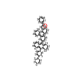 c1ccc(-c2ccc(-c3c4ccccc4c(-c4ccc(-c5ccc6oc(-c7ccccc7)cc6c5)c(-c5ccccc5)c4)c4ccccc34)cc2)cc1